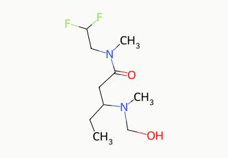 CCC(CC(=O)N(C)CC(F)F)N(C)CO